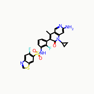 Cc1c(-c2cccc(NS(=O)(=O)c3cc4scnc4cc3F)c2F)c(=O)n(C2CC2)c2cc(N)ncc12